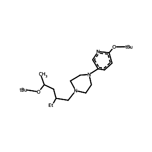 CCC(CC(C)OC(C)(C)C)CN1CCN(c2ccc(OC(C)(C)C)nc2)CC1